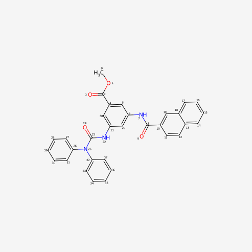 COC(=O)c1cc(NC(=O)c2ccc3ccccc3c2)cc(NC(=O)N(c2ccccc2)c2ccccc2)c1